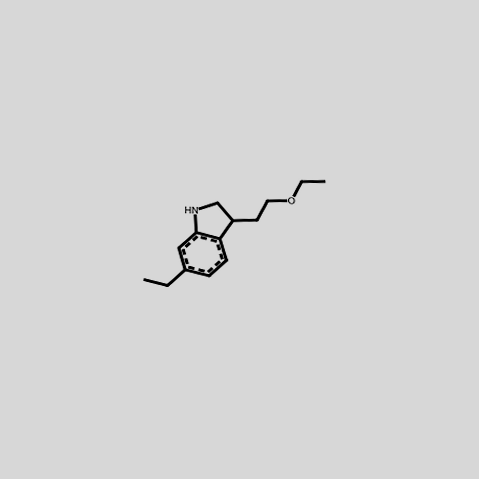 CCOCCC1CNc2cc(CC)ccc21